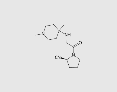 [C-]#[N+][C@@H]1CCCN1C(=O)CNC1(C)CCN(C)CC1